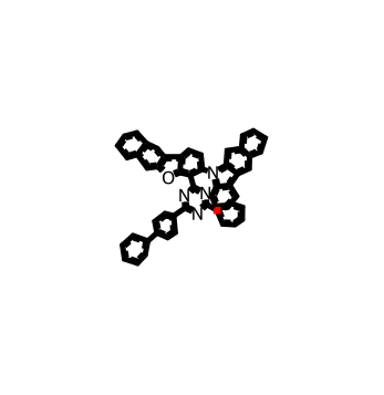 c1ccc(-c2ccc(-c3nc(-c4ccccc4)nc(-c4c(-n5c6ccccc6c6cc7ccccc7cc65)ccc5c4oc4cc6ccccc6cc45)n3)cc2)cc1